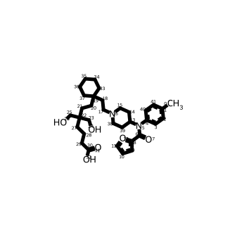 Cc1ccc(N(C(=O)c2ccco2)C2CCN(CCC3(CCC(CO)(CO)CCCC(=O)O)CCCCC3)CC2)cc1